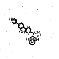 CN(c1cnc(-c2ccc(-c3cn[nH]c3)cc2O)cn1)[C@H]1C[C@@H]2CCC[C@@H](N2)[C@H]1F